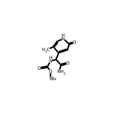 Cc1c[nH]c(=O)cc1C(NC(=O)OC(C)(C)C)C(N)=O